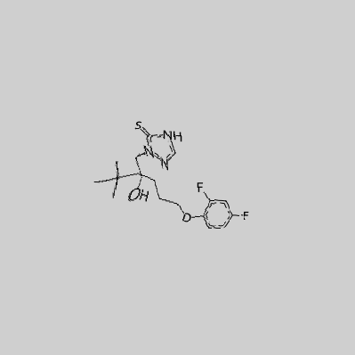 CC(C)(C)C(O)(CCCOc1ccc(F)cc1F)Cn1nc[nH]c1=S